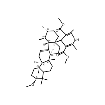 COC(=O)C1=C(C)NC(C)=C(C(=O)OC)C1[C@]12CC[C@@H](C)[C@H](C)[C@H]1C1=CC[C@@H]3[C@@]4(C)CC[C@H](OC)C(C)(C)C4CC[C@@]3(C)[C@]1(C)CC2